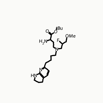 COCC(F)CN(CCCCc1ccc2c(n1)NCCC2)CCC(N)C(=O)OC(C)(C)C